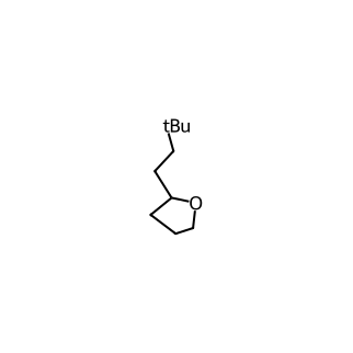 CC(C)(C)CCC1CCCO1